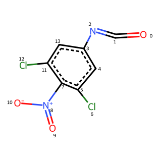 O=C=Nc1cc(Cl)c([N+](=O)[O-])c(Cl)c1